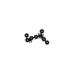 c1ccc(-c2ccc(-c3nc(-c4ccccc4)nc(-c4ccc(-c5ccc6c(c5)oc5cccc(-c7ccccc7)c56)cc4)n3)cc2)cc1